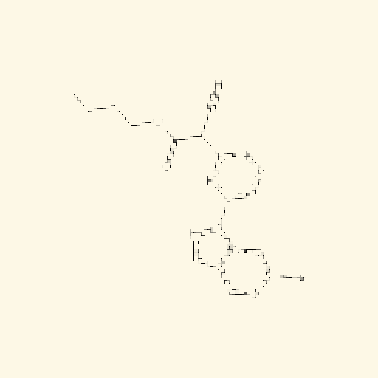 CCCCOC(=O)C(C#N)c1cccc(-n2ncc3ccc(Br)cc32)n1